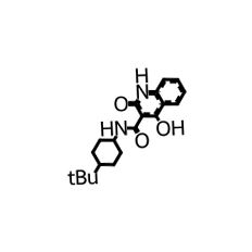 CC(C)(C)C1CCC(NC(=O)c2c(O)c3ccccc3[nH]c2=O)CC1